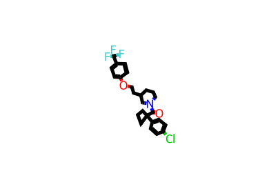 O=C(N1CCCC(CCOc2ccc(C(F)(F)F)cc2)C1)C1(c2ccc(Cl)cc2)CCC1